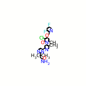 Cc1cnc(-c2ccnc(C(C)(C)CC(N)=O)n2)cc1-n1c(C)cc(OCc2ncc(F)cc2F)c(Cl)c1=O